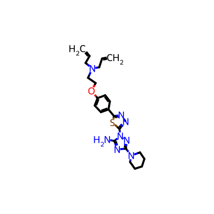 C=CCN(CC=C)CCOc1ccc(-c2nnc(-n3nc(N4CCCCC4)nc3N)s2)cc1